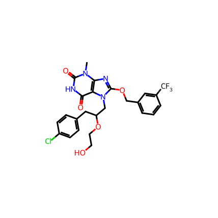 Cn1c(=O)[nH]c(=O)c2c1nc(OCc1cccc(C(F)(F)F)c1)n2CC(Cc1ccc(Cl)cc1)OCCO